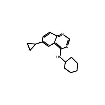 c1nc(NC2CCCCC2)c2cc(C3CC3)ccc2n1